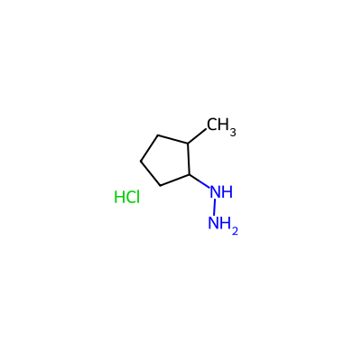 CC1CCCC1NN.Cl